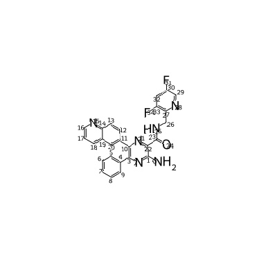 Nc1nc(-c2ccccc2)c(-c2ccc3ncccc3c2)nc1C(=O)NCc1ncc(F)cc1F